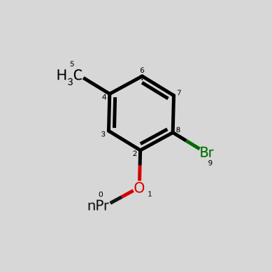 CCCOc1cc(C)[c]cc1Br